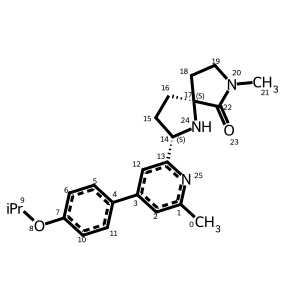 Cc1cc(-c2ccc(OC(C)C)cc2)cc([C@@H]2CC[C@@]3(CCN(C)C3=O)N2)n1